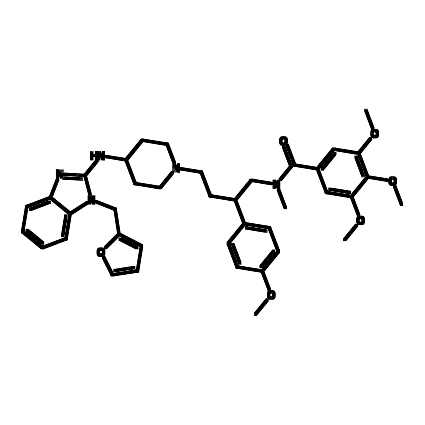 COc1ccc(C(CCN2CCC(Nc3nc4ccccc4n3Cc3ccco3)CC2)CN(C)C(=O)c2cc(OC)c(OC)c(OC)c2)cc1